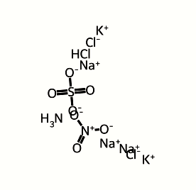 Cl.N.O=S(=O)([O-])[O-].O=[N+]([O-])[O-].[Cl-].[Cl-].[K+].[K+].[Na+].[Na+].[Na+]